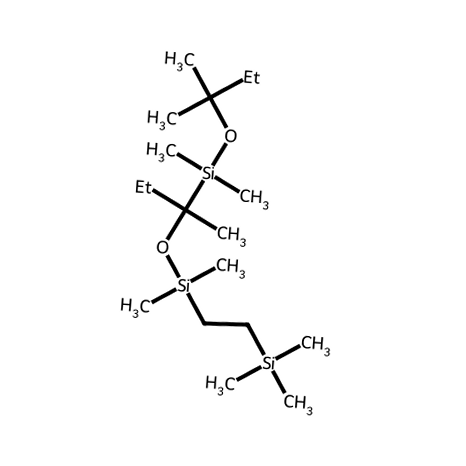 CCC(C)(C)O[Si](C)(C)C(C)(CC)O[Si](C)(C)CC[Si](C)(C)C